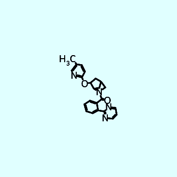 Cc1ccc(OC2CC3CC2N(C(=O)c2ccccc2-c2ncccn2)C3)nc1